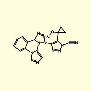 COC1(c2c(N3C=NC4c5ccccc5-n5cncc5N43)nnn2C#N)CC1